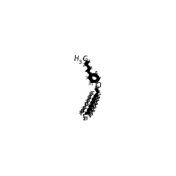 C/C=C/CCc1ccc(OCCC(F)(F)C(F)(F)C(F)(F)C(F)(F)C(F)(F)C(F)(F)F)cc1